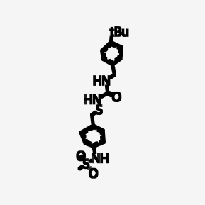 CC(C)(C)c1ccc(CNC(=O)NSCc2ccc(NS(C)(=O)=O)cc2)cc1